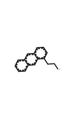 [CH2]CCc1cccc2cc3ccccc3cc12